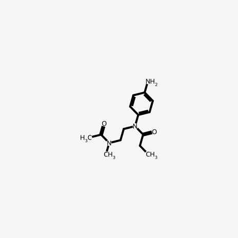 CCC(=O)N(CCN(C)C(C)=O)c1ccc(N)cc1